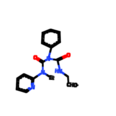 CCN(C(=O)N(C(=O)NC[C]=O)c1ccccc1)c1ccccn1